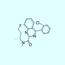 C[C@H](CCF)N(C)C(=O)c1nc(-c2ccccc2Cl)c2ccccc2n1